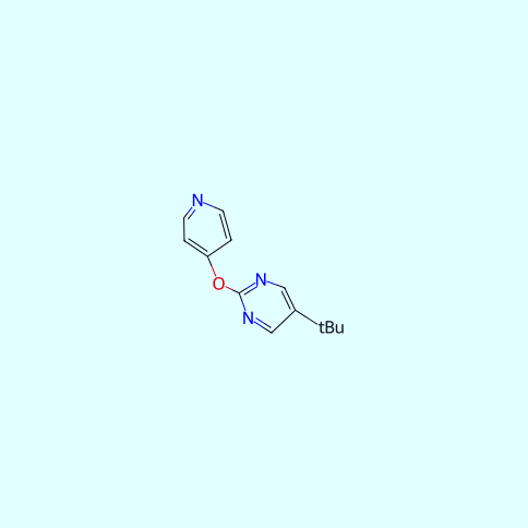 CC(C)(C)c1cnc(Oc2ccncc2)nc1